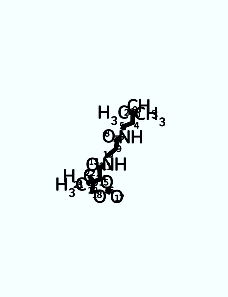 CC(C)(C)CCNC(=O)CCNC(=O)C1OC(=O)OCC1(C)C